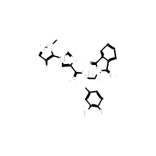 Cn1ncc(Cl)c1-n1cnc(C(=O)N[C@@H](Cc2ccc(F)c(F)c2)CN2C(=O)c3ccccc3C2=O)c1